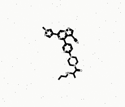 CCCNC(C)C(=O)N1CCN(c2ccc(-c3nc(-c4cnn(C)c4)cn4ncc(C#N)c34)cn2)CC1